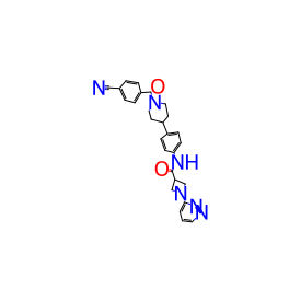 N#Cc1ccc(C(=O)N2CCC(c3ccc(NC(=O)C4CN(c5cccnn5)C4)cc3)CC2)cc1